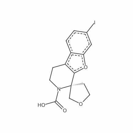 O=C(O)N1CCc2c(oc3cc(I)ccc23)[C@]12CCOC2